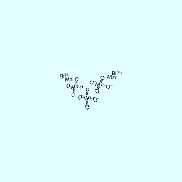 [Bi+3].[Bi+3].[Mn].[Mn].[O]=[Mo](=[O])([O-])[O-].[O]=[Mo](=[O])([O-])[O-].[O]=[Mo](=[O])([O-])[O-]